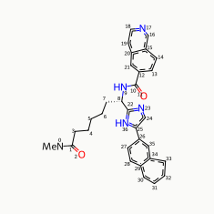 CNC(=O)CCCCC[C@H](NC(=O)c1ccc2cnccc2c1)c1ncc(-c2ccc3ccccc3c2)[nH]1